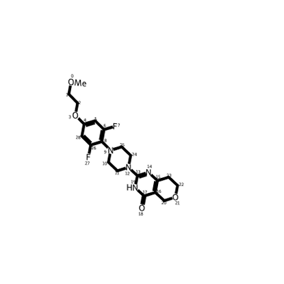 COCCOc1cc(F)c(N2CCN(c3nc4c(c(=O)[nH]3)COCC4)CC2)c(F)c1